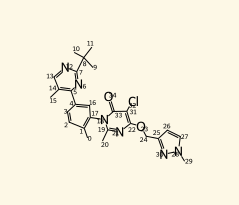 Cc1ccc(-c2nc(C(C)(C)C)ncc2C)cc1-n1c(C)nc(OCc2ccn(C)n2)c(Cl)c1=O